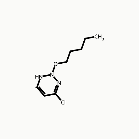 CCCCCON1N=C(Cl)C=[C]N1